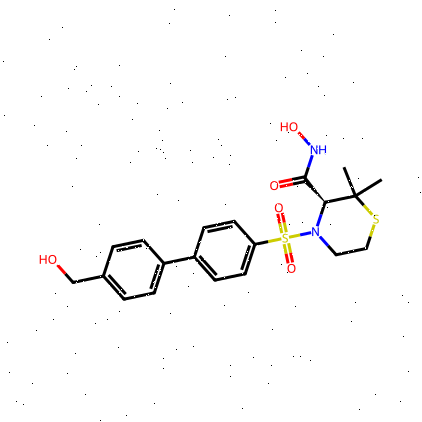 CC1(C)SCCN(S(=O)(=O)c2ccc(-c3ccc(CO)cc3)cc2)[C@H]1C(=O)NO